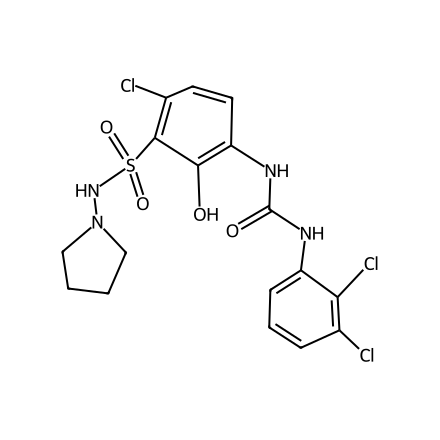 O=C(Nc1ccc(Cl)c(S(=O)(=O)NN2CCCC2)c1O)Nc1cccc(Cl)c1Cl